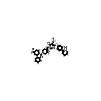 Nc1c(Oc2ccc(C3CCCCN3)cc2)ncn(CC2(O)CCN(C(=O)[C@@H]3CCC(F)(F)C[C@H]3c3ccccc3)CC2)c1=O